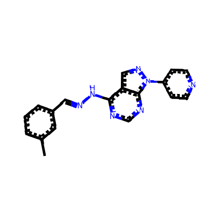 Cc1cccc(C=NNc2ncnc3c2cnn3-c2ccncc2)c1